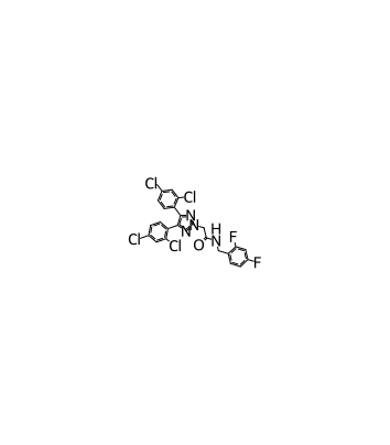 O=C(Cn1nc(-c2ccc(Cl)cc2Cl)c(-c2ccc(Cl)cc2Cl)n1)NCc1ccc(F)cc1F